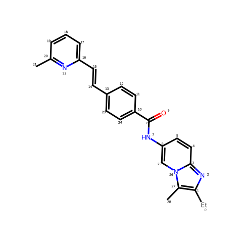 CCc1nc2ccc(NC(=O)c3ccc(C=Cc4cccc(C)n4)cc3)cn2c1C